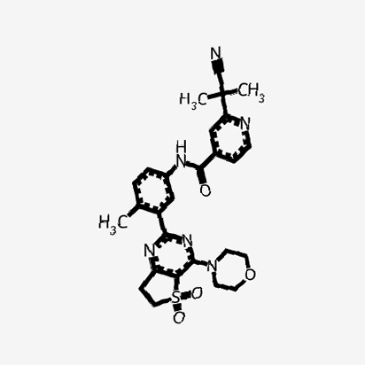 Cc1ccc(NC(=O)c2ccnc(C(C)(C)C#N)c2)cc1-c1nc2c(c(N3CCOCC3)n1)S(=O)(=O)CC2